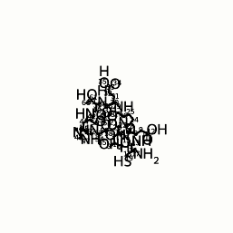 CC(C)CC(NC(=O)C(CC(=O)O)NC(=O)C(N)CS)C(=O)N1CCCC1C(=O)NC(CCC(=O)O)C(=O)NC(C(=O)NC(Cc1c[nH]cn1)C(=O)NC(CO)C(=O)O)C(C)O